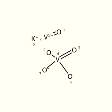 [K+].[O]=[V+2].[O]=[V]([O-])([O-])[O-]